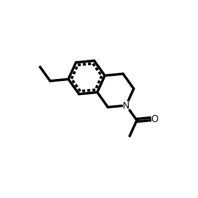 CCc1ccc2c(c1)CN(C(C)=O)CC2